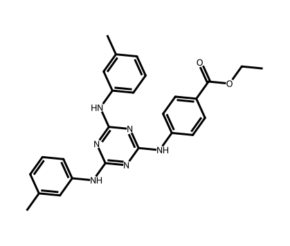 CCOC(=O)c1ccc(Nc2nc(Nc3cccc(C)c3)nc(Nc3cccc(C)c3)n2)cc1